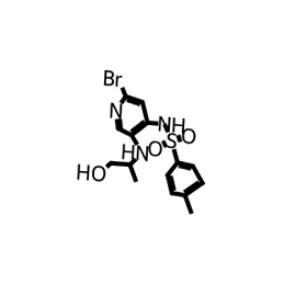 Cc1ccc(S(=O)(=O)Nc2cc(Br)ncc2NC(C)CO)cc1